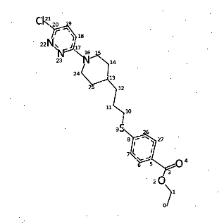 CCOC(=O)c1ccc(SCCCC2CCN(c3ccc(Cl)nn3)CC2)cc1